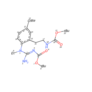 CCN(C(N)=NC(=O)OC(C)(C)C)c1ccc(OC)cc1CCNC(=O)OC(C)(C)C